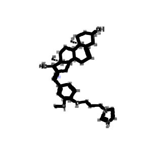 COc1cc(/C=C2\CC3C4CC=C5CC(O)CC[C@]5(C)C4CC[C@]3(C)C2O)ccc1OCCCn1ccnc1